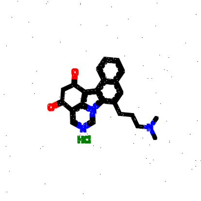 CN(C)CCCc1cc2ccccc2c2c3c4c(cncn4c12)C(=O)CC3=O.Cl